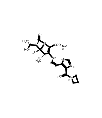 C[C@@H](O)[C@H]1C(=O)N2C(C(=O)[O-])=C(S/C=C\c3scnc3C(=O)N3CCC3)[C@H](C)[C@H]12.[Na+]